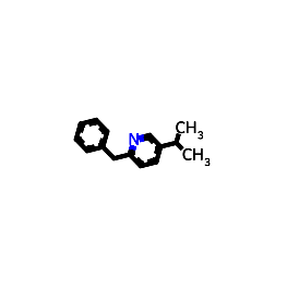 CC(C)c1ccc(Cc2ccccc2)nc1